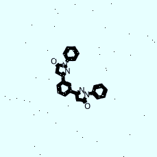 O=C1CC(c2cccc(C3=NN(c4ccccc4)C(=O)C3)c2)=NN1c1ccccc1